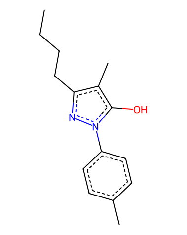 CCCCc1nn(-c2ccc(C)cc2)c(O)c1C